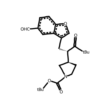 CC(C)(C)OC(=O)N1CC[C@H]([C@H](Cc2coc3ccc(C=O)cc23)C(=O)C(C)(C)C)C1